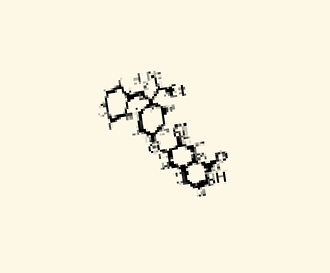 CCC(N)C1(CC2CCOCC2)CCC(Oc2cc3cc[nH]c(=O)c3cc2Cl)CC1